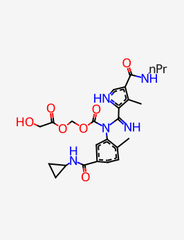 CCCNC(=O)c1c[nH]c(C(=N)N(C(=O)OCOC(=O)CO)c2cc(C(=O)NC3CC3)ccc2C)c1C